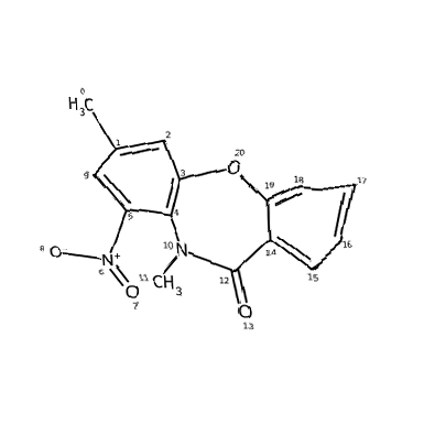 Cc1cc2c(c([N+](=O)[O-])c1)N(C)C(=O)c1ccccc1O2